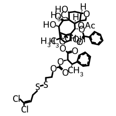 CC(=O)O[C@@]12CO[C@@H]1C[C@H](O)[C@@]1(C)C(=O)[C@H](O)C3=C(C)[C@@H](OC(=O)[C@H](OC(=O)OCCSSCCC=C(Cl)Cl)[C@@H](C)c4ccccc4)C[C@@](O)([C@@H](OC(=O)c4ccccc4)[C@H]21)C3(C)C